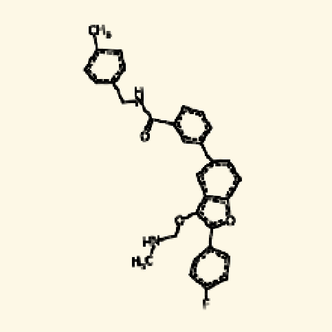 CNCOc1c(-c2ccc(F)cc2)oc2ccc(-c3cccc(C(=O)NCc4ccc(C)cc4)c3)cc12